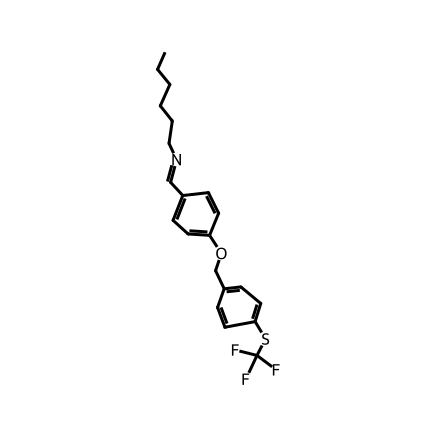 CCCCCC/N=C/c1ccc(OCc2ccc(SC(F)(F)F)cc2)cc1